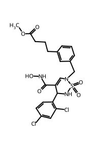 COC(=O)CCCc1cccc(CN2C=C(C(=O)NO)C(c3ccc(Cl)cc3Cl)NS2(=O)=O)c1